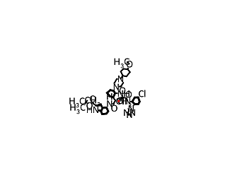 COC1CCC(N2CCN(c3cccc(C(C)C(=O)Nc4cccc5[nH]c(C(=O)OC(C)(C)C)cc45)c3NC(=O)C(=O)Nc3cc(Cl)ccc3-n3cnnn3)C(=O)C2)CC1